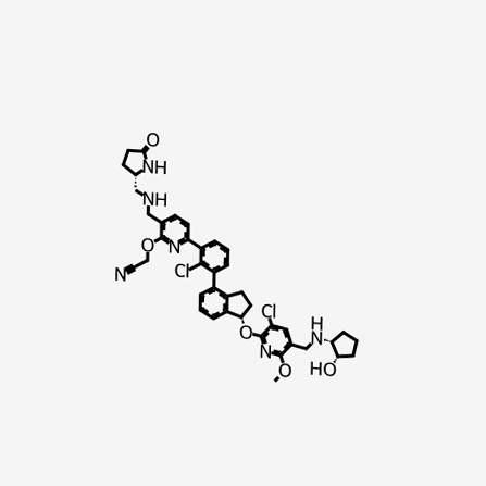 COc1nc(O[C@H]2CCc3c(-c4cccc(-c5ccc(CNC[C@@H]6CCC(=O)N6)c(OCC#N)n5)c4Cl)cccc32)c(Cl)cc1CN[C@@H]1CCC[C@@H]1O